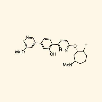 CNC1CCCC(F)[C@@H](Oc2ccc(-c3ccc(-c4cnnc(OC)c4)cc3O)nn2)C1